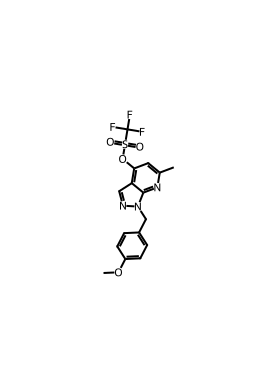 COc1ccc(Cn2ncc3c(OS(=O)(=O)C(F)(F)F)cc(C)nc32)cc1